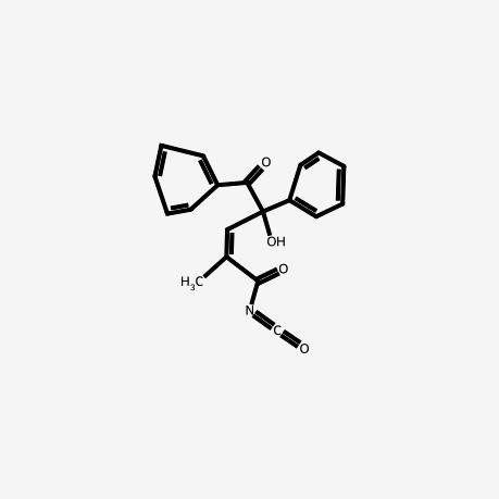 CC(=CC(O)(C(=O)c1ccccc1)c1ccccc1)C(=O)N=C=O